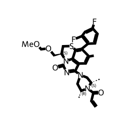 C=CC(=O)N1[C@H](C)CN(c2nc(=O)n3c4c(c(-c5ccc(F)cc5F)c(C)cc24)SC[C@@H]3COCOC)C[C@@H]1C